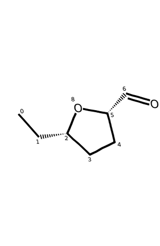 CC[C@H]1CC[C@@H](C=O)O1